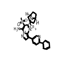 CS(=O)(=O)c1c([C@@H]2C[C@H]3CC[C@@H](C2)N3CC(F)(F)F)nc2c(-c3ccc(-c4ccccc4)nc3)cnn2c1N